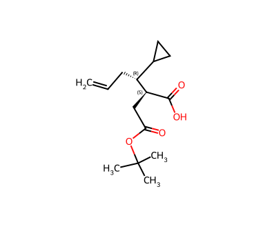 C=CC[C@H](C1CC1)[C@H](CC(=O)OC(C)(C)C)C(=O)O